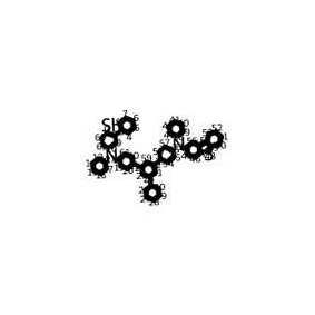 SC1=C(c2ccccc2)C=C(N(c2ccccc2)c2ccc(-c3cc(-c4ccccc4)cc(C4C=CC(N(c5ccccc5)c5ccc6sc7ccccc7c6c5)=CC4)c3)cc2)CC1